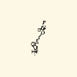 O=c1cc(CF)occ1OCCCCCSc1ccnc2cc(C(F)(F)F)ccc12